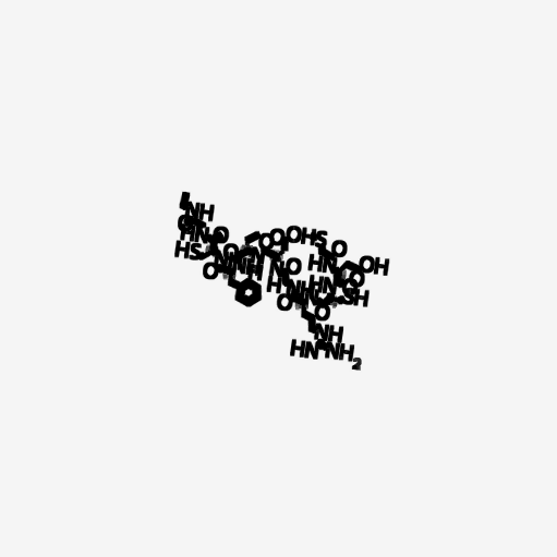 CCNC(=O)CNC(=O)[C@H](CS)NC(=O)[C@H](Cc1ccccc1)NC(=O)[C@H](CC)NC(=O)[C@H](CC(=O)O)NC(=O)CNC(=O)[C@H](CCCNC(=N)N)NC(=O)[C@H](CS)NC(=O)[C@H](CC(=O)O)NC(=O)CSC